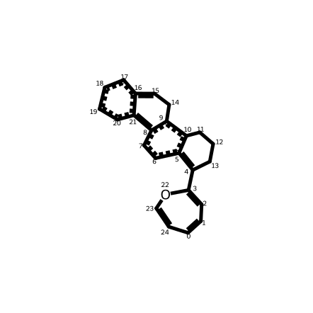 C1=CC=C(C2=c3ccc4c(c3CCC2)CC=c2ccccc2=4)OC=C1